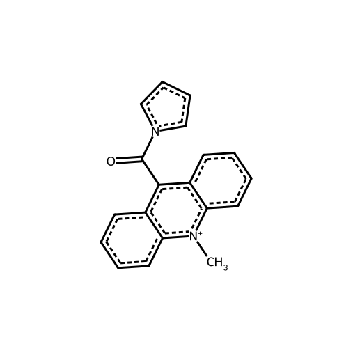 C[n+]1c2ccccc2c(C(=O)n2cccc2)c2ccccc21